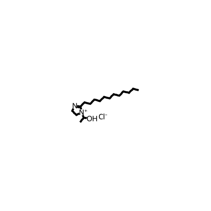 CCCCCCCCCCCCC1=NCC[N+]1(C)C(C)O.[Cl-]